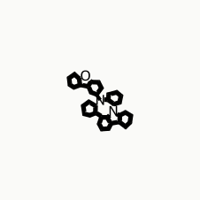 c1ccc2c(c1)oc1ccc(-n3c4ccccc4c4cccc5c6ccccc6n(c6ccccc63)c45)cc12